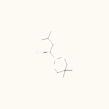 CC(C)C[C@H](N)B1OCC(C)(C)CO1